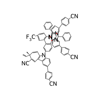 C=C[C@]1(C)C=Cc2c(c3cc(-c4ccc(C#N)cc4)ccc3n2-c2ccc(-c3nc(-c4ccccc4)nc(-c4ccccc4)n3)c(-c3cc(C(F)(F)F)ccc3-n3c4ccc(-c5ccc(C#N)cc5)cc4c4cc(-c5ccc(C#N)cc5)ccc43)c2)C=C1C#N